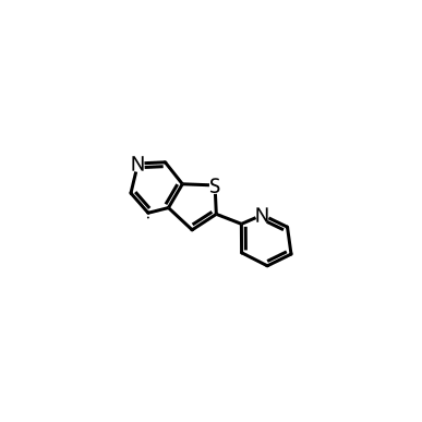 [c]1cncc2sc(-c3ccccn3)cc12